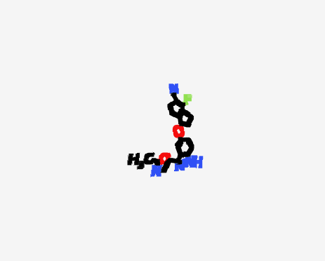 Cc1ncc(-c2n[nH]c3ccc(O[C@H]4CCc5c4ccc(C#N)c5F)cc23)o1